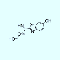 N=C(SOCO)c1nc2ccc(O)cc2s1